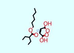 CCCCCCOC(=O)C(CC)CC.O=C(O)/C=C\C(=O)O